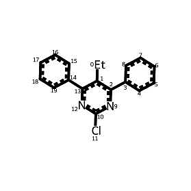 CCc1c(-c2ccccc2)nc(Cl)nc1-c1ccccc1